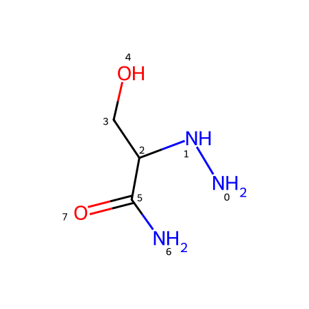 NNC(CO)C(N)=O